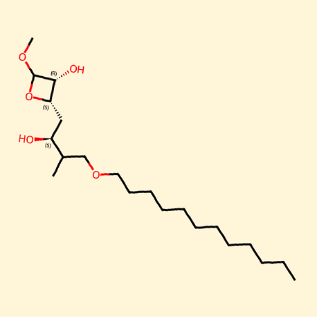 CCCCCCCCCCCCOCC(C)[C@@H](O)C[C@@H]1OC(OC)[C@@H]1O